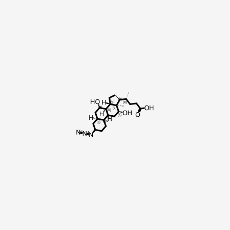 C[C@H](CCC(=O)O)[C@H]1CC[C@H]2[C@@H]3[C@H](O)C[C@@H]4CC(N=[N+]=[N-])CC[C@]4(C)[C@H]3C[C@H](O)[C@]12C